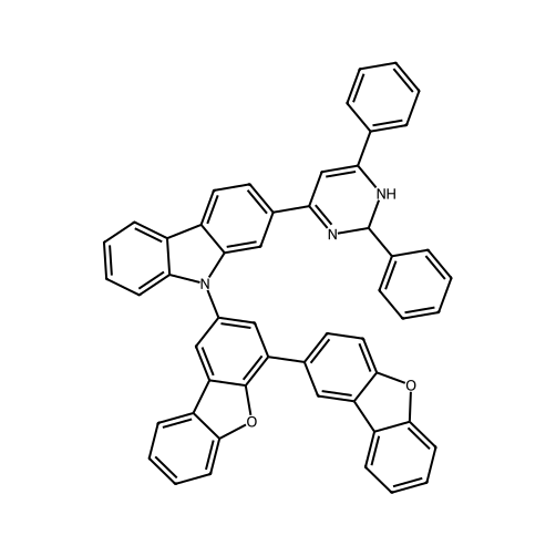 C1=C(c2ccccc2)NC(c2ccccc2)N=C1c1ccc2c3ccccc3n(-c3cc(-c4ccc5oc6ccccc6c5c4)c4oc5ccccc5c4c3)c2c1